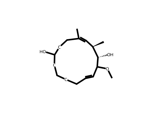 COC1/C=C/CCCCC(O)CC/C(C)=C\[C@@H](C)[C@@H]1O